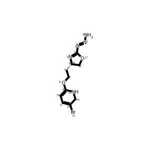 NN=NC1=N[C@@H](CCOC2=CC=C(Br)CN2)CO1